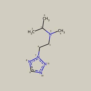 CC(C)N(C)CCn1ncnn1